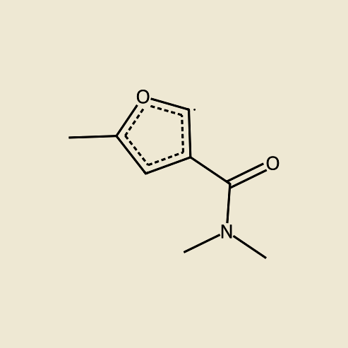 Cc1cc(C(=O)N(C)C)[c]o1